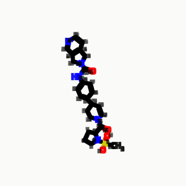 CS(=O)(=O)N1CCCC1C(=O)N1C=CC(c2ccc(NC(=O)N3Cc4ccncc4C3)cc2)CC1